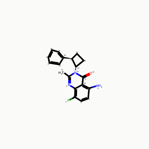 Cc1nc2c(F)ccc(N)c2c(=O)n1[C@H]1CC[C@@H]1c1ccccc1